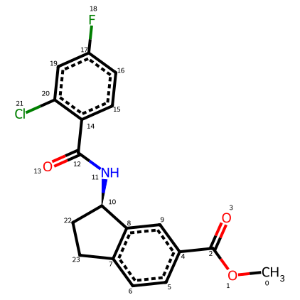 COC(=O)c1ccc2c(c1)[C@H](NC(=O)c1ccc(F)cc1Cl)CC2